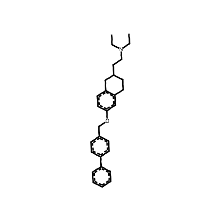 CCN(CC)CCC1CCc2cc(OCc3ccc(-c4ccccc4)cc3)ccc2C1